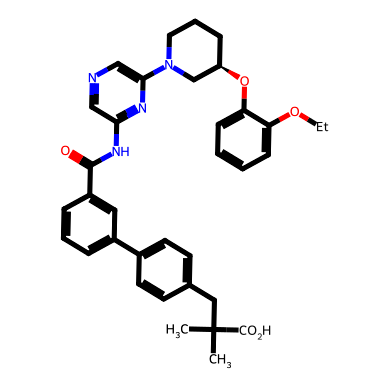 CCOc1ccccc1O[C@@H]1CCCN(c2cncc(NC(=O)c3cccc(-c4ccc(CC(C)(C)C(=O)O)cc4)c3)n2)C1